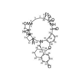 CC[C@@H]1CCCC[C@](O)(COC)[C@@H]2CC[C@H]2CN2C[C@@]3(CCCc4cc(Cl)ccc43)COc3ccc(cc32)C(=O)NS1(=O)=O